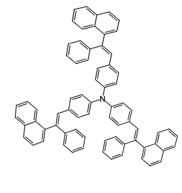 C(=C(/c1ccccc1)c1cccc2ccccc12)/c1ccc(N(c2ccc(/C=C(\c3ccccc3)c3cccc4ccccc34)cc2)c2ccc(/C=C(\c3ccccc3)c3cccc4ccccc34)cc2)cc1